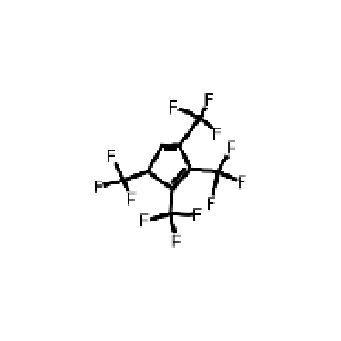 FC(F)(F)C1=CC(C(F)(F)F)C(C(F)(F)F)=C1C(F)(F)F